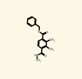 CNC(=O)c1ccc(C(=O)OCc2ccccc2)c(C)c1C